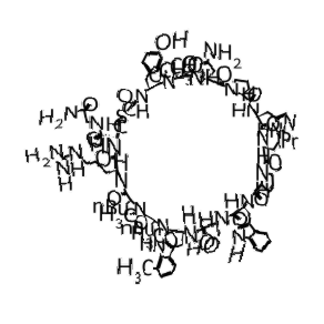 CCCC[C@H]1C(=O)N(C)[C@@H](CCCC)C(=O)N[C@@H](CCCNC(=N)N)C(=O)N[C@H](C(=O)NCC(N)=O)CSCC(=O)N[C@@H](Cc2ccc(O)cc2)C(=O)N(C)[C@@H](C)C(=O)N[C@@H](CC(N)=O)C(=O)N2CCC[C@H]2C(=O)N[C@@H](Cc2cnc[nH]2)C(=O)N[C@@H](CC(C)C)C(=O)N2CCC[C@H]2C(=O)N[C@@H](Cc2c[nH]c3ccccc23)C(=O)N[C@@H](CO)C(=O)N[C@@H](Cc2c[nH]c3c(C)cccc23)C(=O)N1C